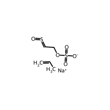 C=CC.O=S=CCOS(=O)(=O)[O-].[Na+]